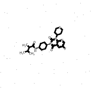 CC(C)C(C)C(=O)N[C@H]1CC[C@@H](n2c(=O)c3cc(F)cnc3n(C3CCSCC3)c2=O)CC1